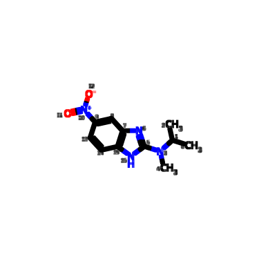 CC(C)N(C)c1nc2cc([N+](=O)[O-])ccc2[nH]1